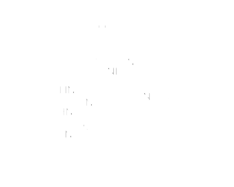 CC(=O)c1ccnc(NC(=O)C2=C(C)NC(Nc3nc4ccc(F)cc4o3)=NC2c2ccc(N3CCOCC3)cc2Cl)c1